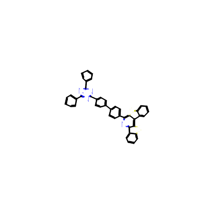 c1ccc(-c2nc(-c3ccccc3)nc(-c3ccc(-c4ccc(-c5nc6c7ccccc7sc6c6c5sc5ccccc56)cc4)cc3)n2)cc1